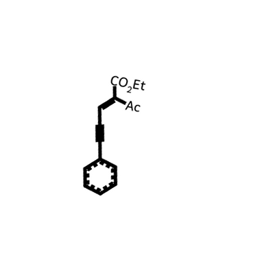 CCOC(=O)C(=CC#Cc1ccccc1)C(C)=O